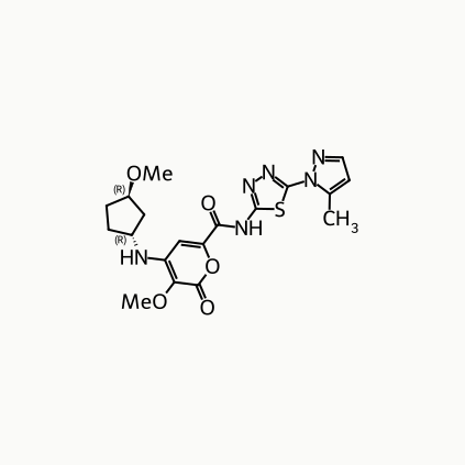 COc1c(N[C@@H]2CC[C@@H](OC)C2)cc(C(=O)Nc2nnc(-n3nccc3C)s2)oc1=O